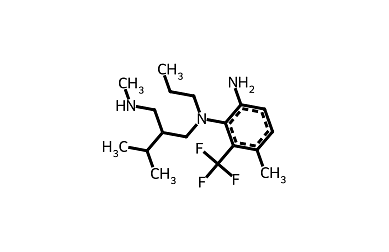 CCCN(CC(CNC)C(C)C)c1c(N)ccc(C)c1C(F)(F)F